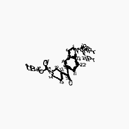 CC(C)[Si](C(C)C)(C(C)C)n1ccc2cc(C(=O)C3CCN(C(=O)OC(C)(C)C)C3)ccc21